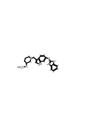 O=C(O)OC1CCCN(Cc2c[nH]c3cc(Oc4nc5ccccc5s4)ccc23)C1